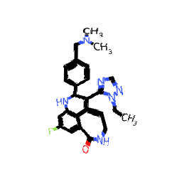 CCn1ncnc1C1C2=CCNC(=O)c3cc(F)cc(c32)NC1c1ccc(CN(C)C)cc1